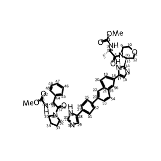 COC(=O)N[C@@H](C)C(=O)N1CCOC[C@H]1c1ncc(-c2ccc3cc(-c4ccc(-c5cnc([C@@H]6CCCN6C(=O)[C@H](NC(=O)OC)c6ccccc6)[nH]5)cc4)ccc3c2)[nH]1